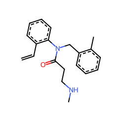 C=Cc1ccccc1N(Cc1ccccc1C)C(=O)CCNC